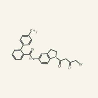 Cc1ccc(-c2ccccc2C(=O)Nc2ccc3c(c2)CCN3C(=O)CC(=O)CBr)cc1